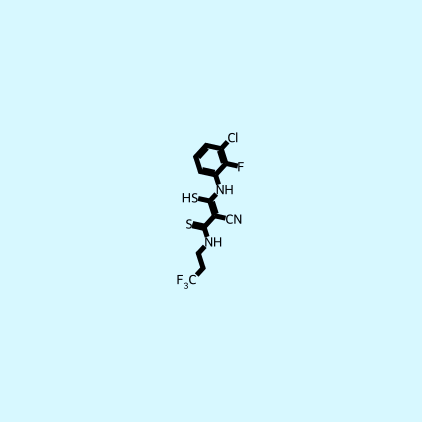 N#C/C(C(=S)NCCC(F)(F)F)=C(/S)Nc1cccc(Cl)c1F